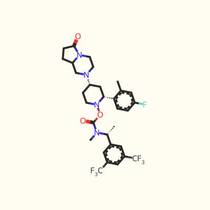 Cc1cc(F)ccc1[C@H]1C[C@@H](N2CCN3C(=O)CCC3C2)CCN1OC(=O)N(C)[C@H](C)c1cc(C(F)(F)F)cc(C(F)(F)F)c1